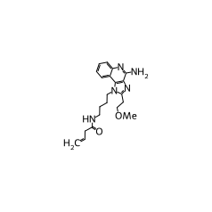 C=CCC(=O)NCCCCn1c(CCOC)nc2c(N)nc3ccccc3c21